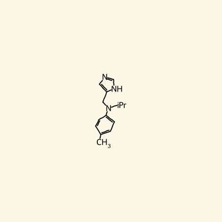 Cc1ccc(N(Cc2cnc[nH]2)C(C)C)cc1